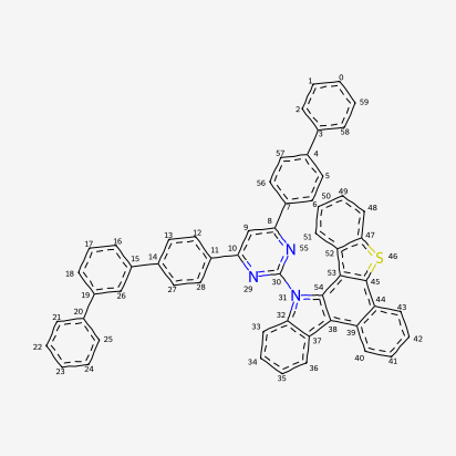 c1ccc(-c2ccc(-c3cc(-c4ccc(-c5cccc(-c6ccccc6)c5)cc4)nc(-n4c5ccccc5c5c6ccccc6c6sc7ccccc7c6c54)n3)cc2)cc1